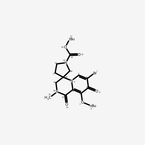 CCCCOc1c2n(cc(Br)c1=O)C1(CCN(C(=O)OC(C)(C)C)C1)CN(C)C2=O